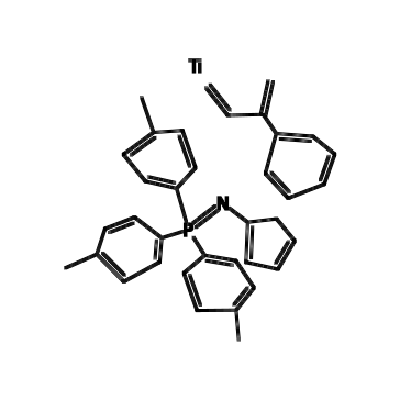 C=CC(=C)c1ccccc1.Cc1ccc(P(=NC2=CC=CC2)(c2ccc(C)cc2)c2ccc(C)cc2)cc1.[Ti]